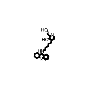 ON=Cc1nccc(CCCCCNc2c3c(nc4ccccc24)CCCC3)c1O